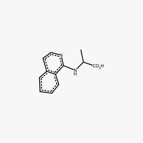 CC(Nc1nccc2ccccc12)C(=O)O